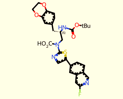 CC(C)(C)OC(=O)N[C@@H](Cc1ccc2c(c1)OCCO2)CN(C(=O)O)c1ncc(-c2ccc3cnc(F)cc3c2)s1